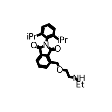 CCNCCOCc1cccc2c1C(=O)N(c1c(C(C)C)cccc1C(C)C)C2=O